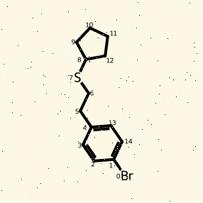 Brc1ccc(CCSC2CCCC2)cc1